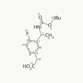 CC(NC(=O)OC(C)(C)C)c1cc(CC(=O)O)ccc1F